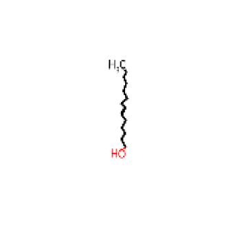 CCCCCCCC=CCCCCCO